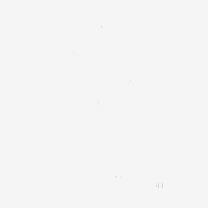 C=CC(=O)OC(C)COC(=O)CCCC(=O)O